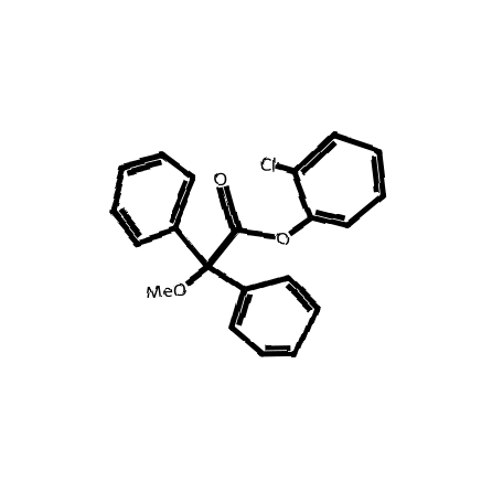 COC(C(=O)Oc1ccccc1Cl)(c1ccccc1)c1ccccc1